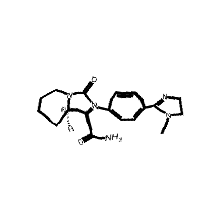 CN1CCN=C1c1ccc(N2C(=O)N3CCC[CH][C@@H]3C2C(N)=O)cc1